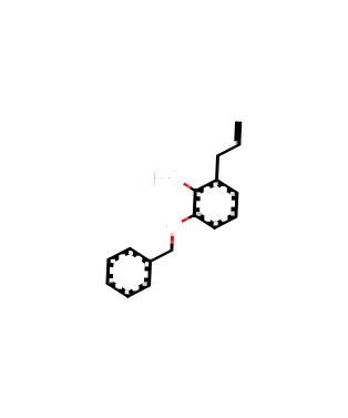 C=CCc1cccc(OCc2ccccc2)c1O